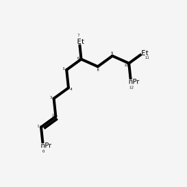 [CH2]CCC=CCCCC(CC)CCC(CC)CC[CH2]